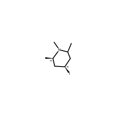 CC1C[C@@H](I)C[C@@H](C)N1C